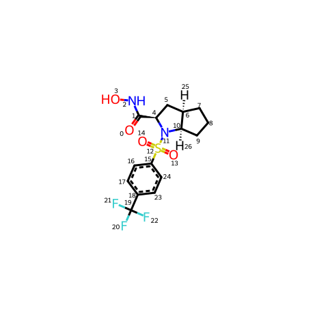 O=C(NO)[C@H]1C[C@H]2CCC[C@H]2N1S(=O)(=O)c1ccc(C(F)(F)F)cc1